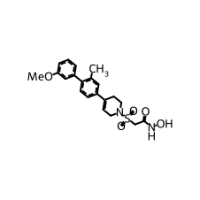 COc1cccc(-c2ccc(C3=CCN(S(=O)(=O)CC(=O)NO)CC3)cc2C)c1